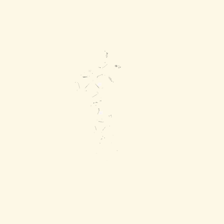 CCCCN(CCCC)c1ccc(/C=C/c2ccc(/C=C/C3=C(C#N)C(=C(C#N)C#N)OC3(C)c3ccccc3)s2)c(OC)c1